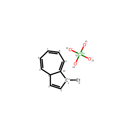 CC[C+]1C=CC2C=CC=CC=C12.[O-][Cl+3]([O-])([O-])[O-]